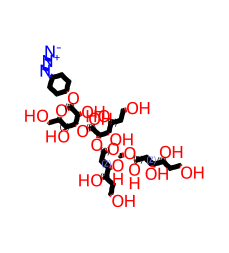 [N-]=[N+]=NC1CCC(O[C@@H]2OC(CO)[C@H](O)C(O[C@@H](O)C(O[C@H](/C=C(\O)[C@H](O)CCO)OCO[C@@H](O)/C=C(\O)[C@H](O)CCO)C(O)[C@H](O)CCO)C2O)CC1